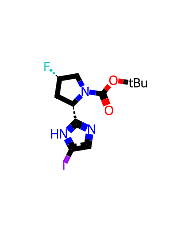 CC(C)(C)OC(=O)N1C[C@@H](F)C[C@H]1c1ncc(I)[nH]1